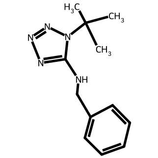 CC(C)(C)n1nnnc1NCc1ccccc1